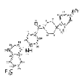 CCCc1ccc(C2(O)CCN(C(=O)c3ccc(Nc4ccnc5cc(C(F)(F)F)ccc45)cc3)CC2)cc1